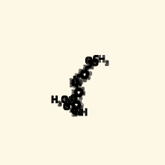 CNC(=O)c1c(Oc2cccc(-c3ccn(Cc4cccc(CCC(=O)OC)c4)n3)c2)ccc2[nH]ccc12